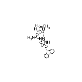 CC(C)(C)OC(=O)CCCC(NC(=O)OCC1c2ccccc2-c2ccccc21)C(=O)NCC(N)=O